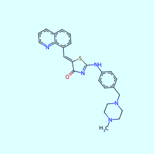 CN1CCN(Cc2ccc(NC3=NC(=O)C(=Cc4cccc5cccnc45)S3)cc2)CC1